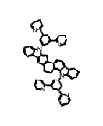 C1=CN=C(c2cc(C3=CCCC=N3)cc(-n3c4ccccc4c4cc5c(cc43)-c3ccc4c6ccccc6n(C6C=C(c7ccccn7)C=C(c7ccccn7)C6)c4c3CC5)c2)CC1